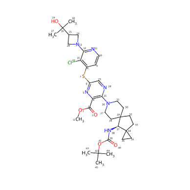 COC(=O)c1nc(Sc2ccnc(N3CC(C(C)(C)O)C3)c2Cl)cnc1N1CCC2(CC1)CCC1(CC1)[C@H]2NC(=O)OC(C)(C)C